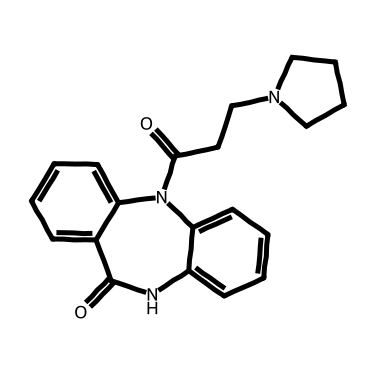 O=C1Nc2ccccc2N(C(=O)CCN2CCCC2)c2ccccc21